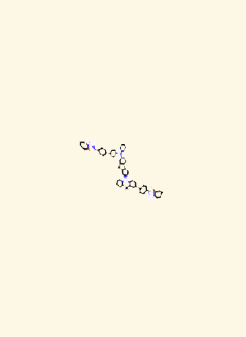 CC1(C)c2cc(N(c3ccccc3)c3ccc(-c4ccc(-c5nc6ccccc6s5)cc4)cc3)ccc2-c2ccc(N3c4ccccc4C(C)(C)c4cc(-c5ccc(-c6nc7ccccc7s6)cc5)ccc43)cc21